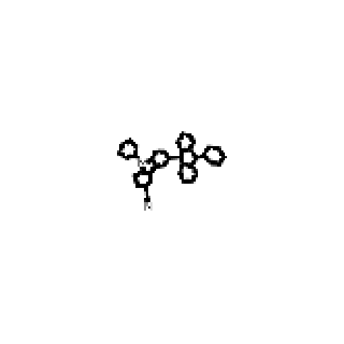 N#Cc1ccc2c(c1)c1cc(-c3c4ccccc4c(-c4ccccc4)c4ccccc34)ccc1n2-c1ccccc1